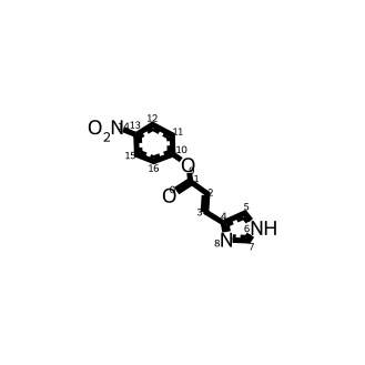 O=C(C=Cc1c[nH]cn1)Oc1ccc([N+](=O)[O-])cc1